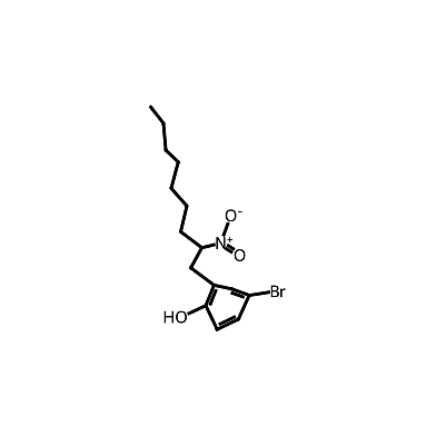 CCCCCCCC(Cc1cc(Br)ccc1O)[N+](=O)[O-]